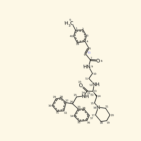 Cc1ccc(/C=C/C(=O)NCCN[C@@H](CCN2CCCCC2)C(=O)NCC(c2ccccc2)c2ccccc2)cc1